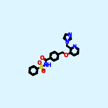 O=C(NS(=O)(=O)c1ccccc1)c1ccc(COc2cccnc2Cn2ccnc2)cc1